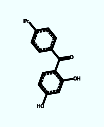 CC(C)c1ccc(C(=O)c2ccc(O)cc2O)cc1